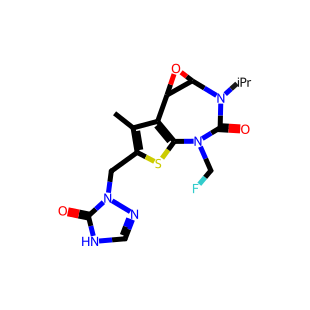 Cc1c(Cn2nc[nH]c2=O)sc2c1C1OC1N(C(C)C)C(=O)N2CF